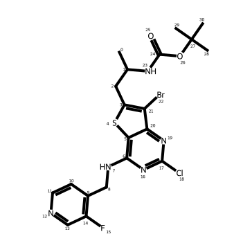 CC(Cc1sc2c(NCc3ccncc3F)nc(Cl)nc2c1Br)NC(=O)OC(C)(C)C